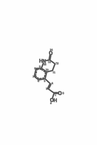 O=C(O)C=Cc1cccc2c1CCC(=O)N2